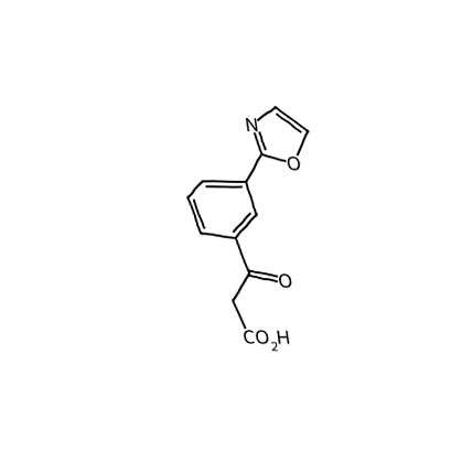 O=C(O)CC(=O)c1cccc(-c2ncco2)c1